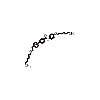 CCCCCCCOCCC12CCC(c3ccc(C(=O)Oc4ccc(OCCCCCCC)cc4)cc3)(CC1)CC2